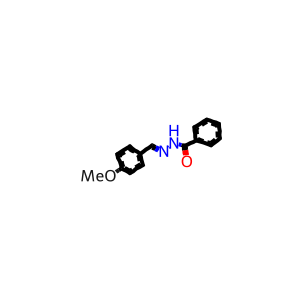 COc1ccc(C=NNC(=O)c2ccccc2)cc1